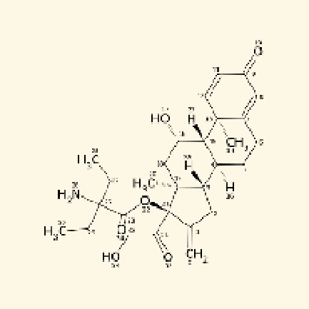 C=C1C[C@H]2[C@@H]3CCC4=CC(=O)C=C[C@]4(C)[C@H]3[C@@H](O)C[C@]2(C)[C@@]1(OC(=O)C(N)(CC)CC)C(=O)CO